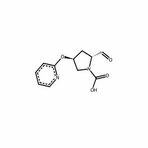 O=C[C@H]1C[C@H](Oc2ccccn2)CN1C(=O)O